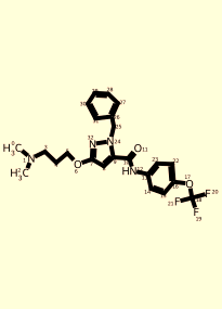 CN(C)CCCOc1cc(C(=O)Nc2ccc(OC(F)(F)F)cc2)n(Cc2ccccc2)n1